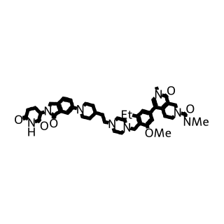 CCc1cc(-c2cn(C)c(=O)c3c2CCN(C(=O)NC)C3)cc(OC)c1CN1CCN(CCC2CCN(c3ccc4c(c3)C(=O)N(C3CCC(=O)NC3=O)C4)CC2)CC1